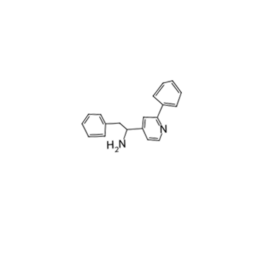 NC(Cc1ccccc1)c1ccnc(-c2ccccc2)c1